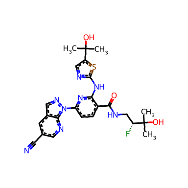 CC(C)(O)c1cnc(Nc2nc(-n3ncc4cc(C#N)cnc43)ccc2C(=O)NC[C@@H](F)C(C)(C)O)s1